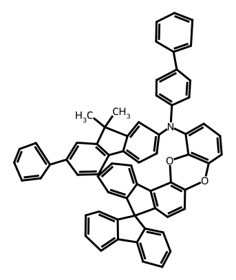 CC1(C)c2cc(-c3ccccc3)ccc2-c2ccc(N(c3ccc(-c4ccccc4)cc3)c3cccc4c3Oc3c(ccc5c3-c3ccccc3C53c5ccccc5-c5ccccc53)O4)cc21